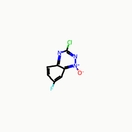 [O-][n+]1nc(Cl)nc2ccc(F)cc21